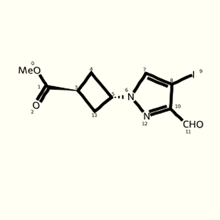 COC(=O)[C@H]1C[C@H](n2cc(I)c(C=O)n2)C1